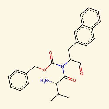 CC(C)[C@H](N)C(=O)N(C(=O)OCc1ccccc1)C(C=O)Cc1ccc2ccccc2c1